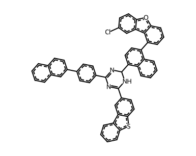 Clc1ccc2oc3cccc(-c4ccc(C5N=C(c6ccc(-c7ccc8ccccc8c7)cc6)N=C(c6ccc7sc8ccccc8c7c6)N5)c5ccccc45)c3c2c1